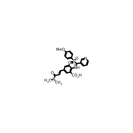 COc1ccc(S(=O)(=O)C(Nc2c(C)cc(/C=C/C(=O)N(C)C)cc2C(=O)O)c2cccnc2)cc1